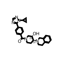 O=C(c1ccc(-c2ncnn2C2CC2)cc1)N1CC[C@H](N2CCc3ccccc3C2)[C@@H](O)C1